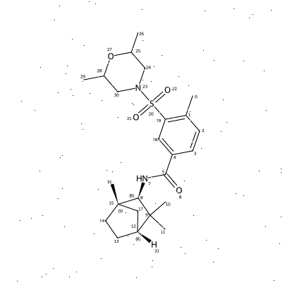 Cc1ccc(C(=O)N[C@H]2C(C)(C)[C@@H]3CC[C@@]2(C)C3)cc1S(=O)(=O)N1CC(C)OC(C)C1